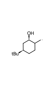 [CH2]C1CC[C@@H](C(C)(C)C)C[C@H]1O